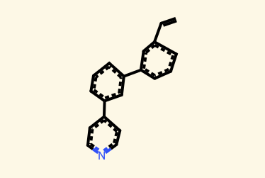 C=Cc1cccc(-c2cccc(-c3ccncc3)c2)c1